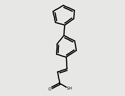 O=C(S)/C=C/c1ccc(-c2ccccc2)cc1